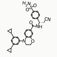 N#CC[C@H](NC(=O)c1ccc2c(c1)OCCN2c1cc(C2CC2)cc(C2CC2)c1)c1ccc(S(N)(=O)=O)cc1